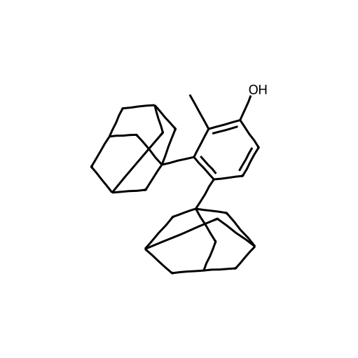 Cc1c(O)ccc(C23CC4CC(CC(C4)C2)C3)c1C12CC3CC(CC(C3)C1)C2